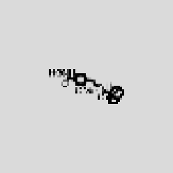 COc1cc(C(=O)NO)ccc1CCNC(=O)C12CC3CC(CC(C3)C1)C2